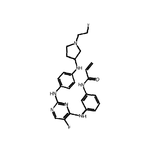 C=CC(=O)Nc1cccc(Nc2nc(Nc3ccc(NC4CCN(CCF)C4)cc3)ncc2F)c1